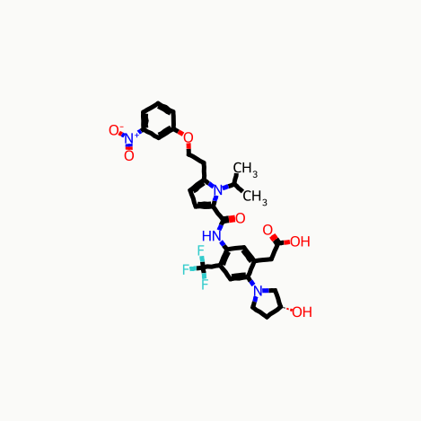 CC(C)n1c(CCOc2cccc([N+](=O)[O-])c2)ccc1C(=O)Nc1cc(CC(=O)O)c(N2CC[C@@H](O)C2)cc1C(F)(F)F